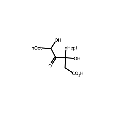 CCCCCCCCC(O)C(=O)C(O)(CCCCCCC)CC(=O)O